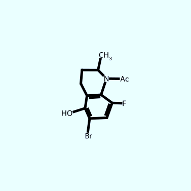 CC(=O)N1c2c(F)cc(Br)c(O)c2CCC1C